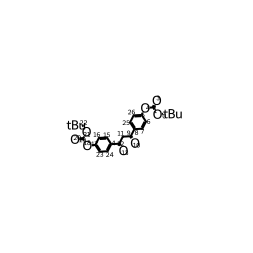 CC(C)(C)OC(=O)Oc1ccc(C(=O)CC(=O)c2ccc(OC(=O)OC(C)(C)C)cc2)cc1